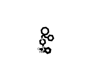 O=c1[nH]c2ccccc2n1C1CCN(CC2(CC3CCCCC3)CCCCCCC2)CC1